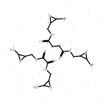 CC1OC1COC(=O)C(=O)OCC1OC1C.CCCC1OC1COC(=O)CCC(=O)OCC1OC1CCC